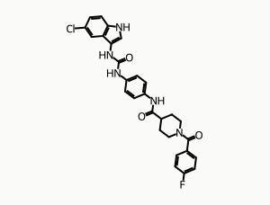 O=C(Nc1ccc(NC(=O)C2CCN(C(=O)c3ccc(F)cc3)CC2)cc1)Nc1c[nH]c2ccc(Cl)cc12